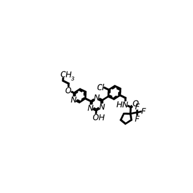 CCCOc1ccc(-c2nc(O)nc(-c3cc(CNC(=O)C4(C(F)(F)F)CCCC4)ccc3Cl)n2)cn1